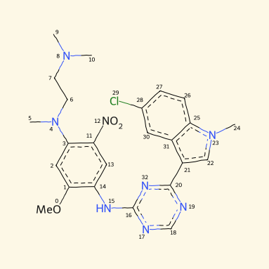 COc1cc(N(C)CCN(C)C)c([N+](=O)[O-])cc1Nc1ncnc(-c2cn(C)c3ccc(Cl)cc23)n1